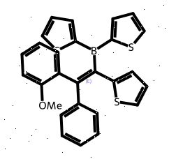 COc1ccccc1/C(=C(\B(c1cccs1)c1cccs1)c1cccs1)c1ccccc1